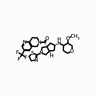 COC1COCCC1N[C@@H]1C[C@H]2CN(C3=NCCS3)C[C@@]2(C(=O)N2CCc3ncc(C(F)(F)F)cc3C2)C1